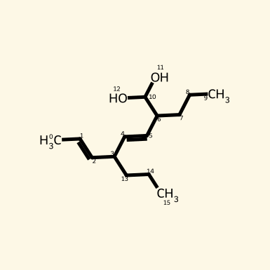 CC=CC(C=CC(CCC)C(O)O)CCC